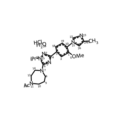 COc1cc(-c2nc(N3CCCN(C(C)=O)CC3)n(C(C)C)n2)ccc1-n1cnc(C)c1.Cl.O